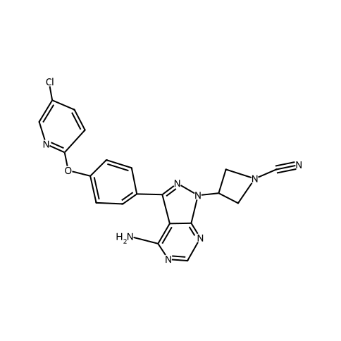 N#CN1CC(n2nc(-c3ccc(Oc4ccc(Cl)cn4)cc3)c3c(N)ncnc32)C1